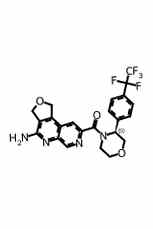 Nc1nc2cnc(C(=O)N3CCOC[C@@H]3c3ccc(C(F)(F)C(F)(F)F)cc3)cc2c2c1COC2